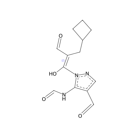 O=CNc1c(C=O)cnn1/C(O)=C(/C=O)CC1CCC1